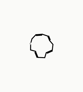 [C]1=C/C/C=C/C/C=C/C=C\CCC/1